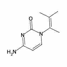 CC(C)=C(C)n1ccc(N)nc1=O